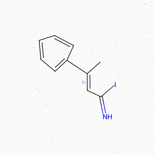 C/C(=C\C(=N)I)c1ccccc1